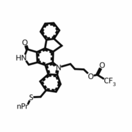 CCCSCc1ccc2c(c1)c1c3c(c4c(c1n2CCCOC(=O)C(F)(F)F)Cc1ccccc1-4)C(=O)NC3